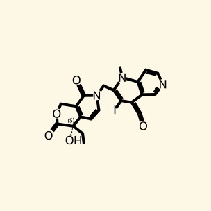 CC[C@@]1(O)C(=O)OCc2c1ccn(CC1=C(I)C(=C=O)c3cnccc3N1C)c2=O